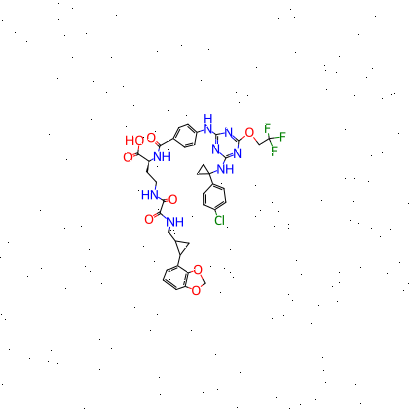 O=C(NCC[C@H](NC(=O)c1ccc(Nc2nc(NC3(c4ccc(Cl)cc4)CC3)nc(OCC(F)(F)F)n2)cc1)C(=O)O)C(=O)NCC1CC1c1cccc2c1OCO2